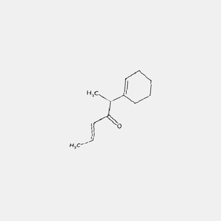 C/C=C/C(=O)C(C)C1=CCCCC1